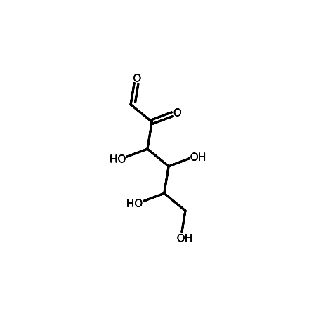 O=CC(=O)C(O)C(O)C(O)CO